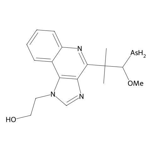 COC([AsH2])C(C)(C)c1nc2ccccc2c2c1ncn2CCO